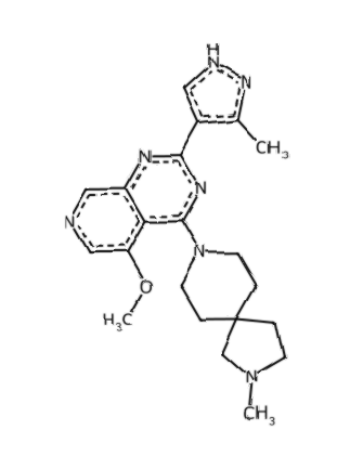 COc1cncc2nc(-c3c[nH]nc3C)nc(N3CCC4(CCN(C)C4)CC3)c12